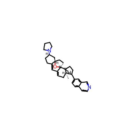 C[C@]12CC=C3C=C4CC[C@@H](N5CCCC5)C[C@]45CC[C@]3(O5)[C@@H]1CCC2c1ccc2ccncc2c1